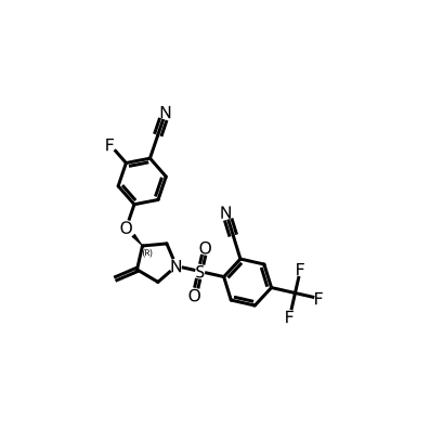 C=C1CN(S(=O)(=O)c2ccc(C(F)(F)F)cc2C#N)C[C@@H]1Oc1ccc(C#N)c(F)c1